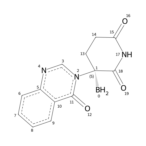 B[C@]1(n2cnc3ccccc3c2=O)CCC(=O)NC1=O